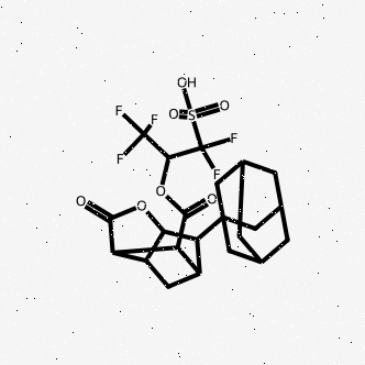 O=C1OC2C3CC(C(C(=O)OC(C(F)(F)F)C(F)(F)S(=O)(=O)O)C13)C2C12CC3CC(CC(C3)C1)C2